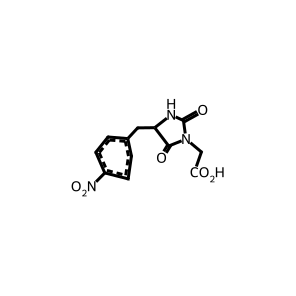 O=C(O)CN1C(=O)NC(Cc2ccc([N+](=O)[O-])cc2)C1=O